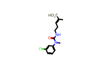 CC(=CCCNC(=O)N(C)c1cccc(Cl)c1)C(=O)O